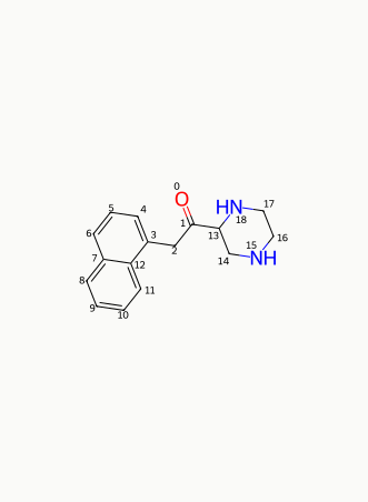 O=C(Cc1cccc2ccccc12)C1CNCCN1